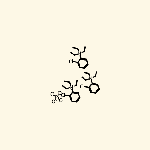 CC[N+](CC)(CC)c1ccccc1Cl.CC[N+](CC)(CC)c1ccccc1Cl.CC[N+](CC)(CC)c1ccccc1Cl.O=P([O-])([O-])[O-]